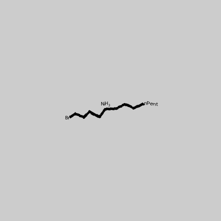 CCCCCCCCCCCCCBr.N